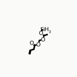 C=CCC(=O)OCOC(C)O[SiH3]